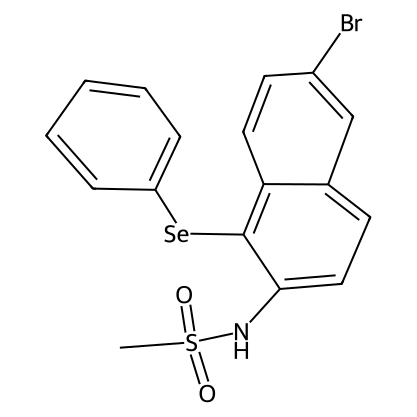 CS(=O)(=O)Nc1ccc2cc(Br)ccc2c1[Se]c1ccccc1